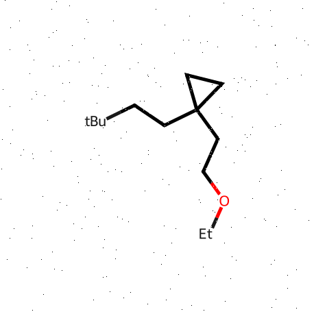 CCOCCC1(CCC(C)(C)C)CC1